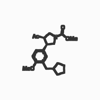 COC(=O)N1C[C@H](C(C)=O)[C@H](c2ccc(OC)c(CC3CCCC3)c2)C1